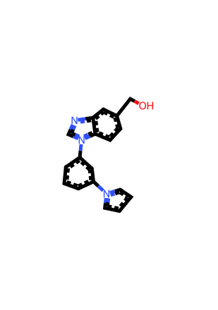 OCc1ccc2c(c1)ncn2-c1cccc(-n2cccc2)c1